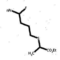 CCCC(F)CCCSC(C)C(=O)OCC